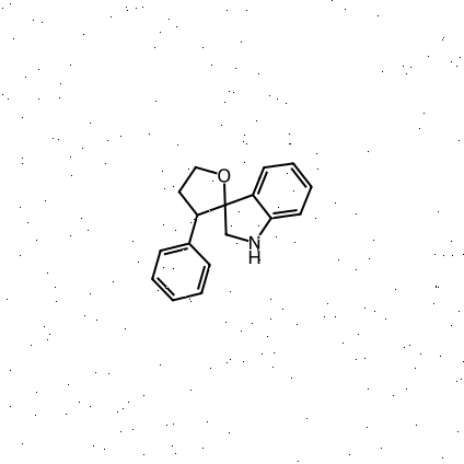 c1ccc(C2CCOC23CNc2ccccc23)cc1